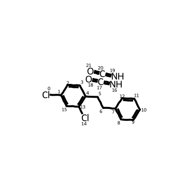 Clc1ccc(CCc2ccccc2)c(Cl)c1.N=C=O.N=C=O